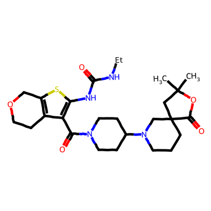 CCNC(=O)Nc1sc2c(c1C(=O)N1CCC(N3CCCC4(C3)CC(C)(C)OC4=O)CC1)CCOC2